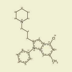 Cc1cc2c(cc(CCCN3CCCCC3)n2-c2ccccc2)c(Cl)n1